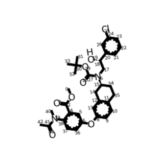 COC(=O)c1cc(Oc2ccc3c(c2)C[C@@H](N(C[C@H](O)c2cccc(Cl)c2)C(=O)OC(C)(C)C)CC3)ccc1N(C)C(C)=O